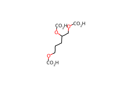 O=C(O)OCCCC(COC(=O)O)OC(=O)O